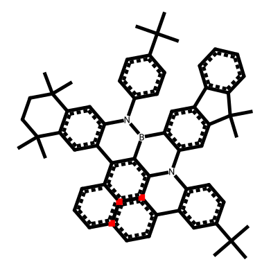 CC(C)(C)c1ccc(N2B3c4cc5c(cc4N(c4ccc(C(C)(C)C)cc4-c4ccccc4)c4cc6ccccc6c(c43)-c3cc4c(cc32)C(C)(C)CCC4(C)C)C(C)(C)c2ccccc2-5)cc1